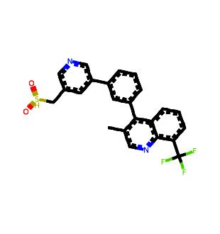 Cc1cnc2c(C(F)(F)F)cccc2c1-c1cccc(-c2cncc(C[SH](=O)=O)c2)c1